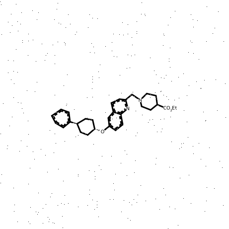 CCOC(=O)C1CCN(Cc2ccc3cc(O[C@H]4CC[C@H](c5ccccc5)CC4)ccc3n2)CC1